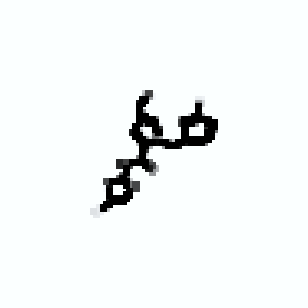 CC(C)Cc1cc(C(=O)Nc2ncc(Cl)s2)n(Cc2cccc(Cl)c2)c1